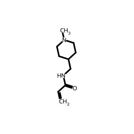 C=CC(=O)NCC1CCN(C)CC1